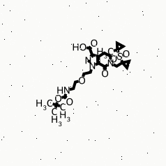 CC(C)(C)OC(=O)NCCOCCn1nc(C(=O)O)c2c1C(=O)N(CC1(S(=O)(=O)C3(C)CC3)CC1)CC2